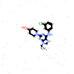 CCn1cnc2c(Nc3cccc(Cl)c3)nc(N3CCC(O)CC3)nc21